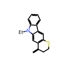 C=C1CCSc2cc3c4ccccc4n(CC)c3cc21